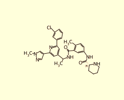 Cc1ccc(NC(=O)[C@H]2CCCCN2)cc1C(=O)NC(C)c1cc(-c2cccc(Cl)c2)nc(-c2cnn(C)c2)c1